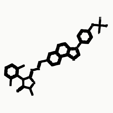 Cc1cccc(C)c1N1C(=O)C(C)SC1=N/N=C/c1ccc2c(ccc3c2ncn3-c2ccc(OC(F)(F)F)cc2)c1